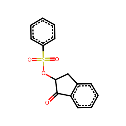 O=C1c2ccccc2CC1OS(=O)(=O)c1ccccc1